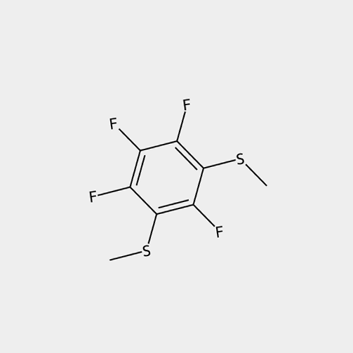 CSc1c(F)c(F)c(F)c(SC)c1F